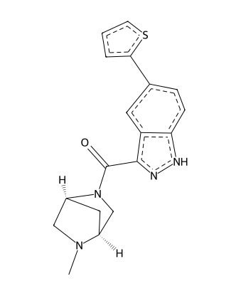 CN1C[C@@H]2C[C@H]1CN2C(=O)c1n[nH]c2ccc(-c3cccs3)cc12